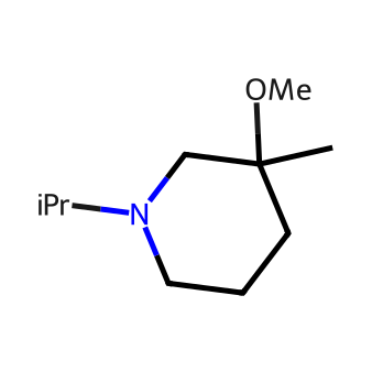 COC1(C)CCCN(C(C)C)C1